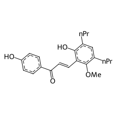 CCCc1cc(CCC)c(OC)c(C=CC(=O)c2ccc(O)cc2)c1O